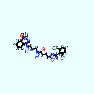 O=C(CCCc1nc(-c2c(Cl)cccc2Cl)no1)NCCCNc1n[nH]c(=O)c2ccccc12